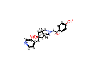 Oc1ccc(C(O)CN2C[C@@H]3CC(O)(Cc4ccncc4)C[C@@H]3C2)cc1